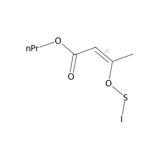 CCCOC(=O)/C=C(/C)OSI